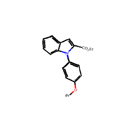 CCOC(=O)c1cc2ccccc2n1-c1ccc(OC(C)C)cc1